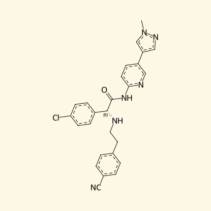 Cn1cc(-c2ccc(NC(=O)[C@H](NCCc3ccc(C#N)cc3)c3ccc(Cl)cc3)nc2)cn1